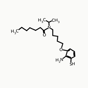 CCCCCCC(=O)N(CCCCCOc1cccc(S)c1N)C(C)C